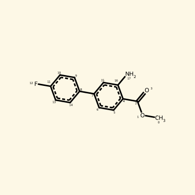 COC(=O)c1ccc(-c2ccc(F)cc2)cc1N